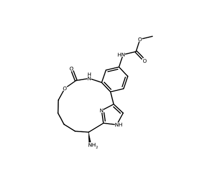 COC(=O)Nc1ccc2c(c1)NC(=O)OCCCC[C@H](N)c1nc-2c[nH]1